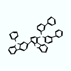 c1ccc(-c2cccc(N(c3cccc(-c4ccccc4)c3)c3ccc(-c4ccc5c6ccccc6n(-c6ccccc6)c5c4)c4oc5ccccc5c34)c2)cc1